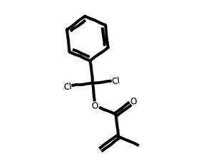 C=C(C)C(=O)OC(Cl)(Cl)c1ccccc1